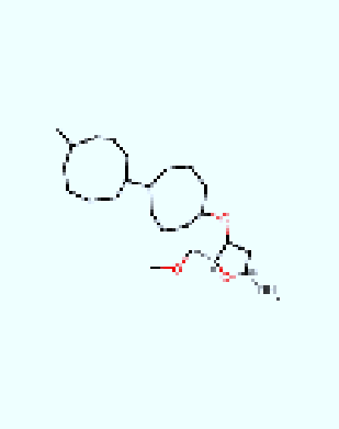 B[C@H]1CC(OC2CCCC(C3CCCCC(C)CCC3)CCC2)[C@@H](COC)O1